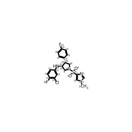 Cn1cnc(S(=O)(=O)N2C[C@@H](Nc3ccc(F)c(Cl)c3)[C@H](c3ccc(F)cc3)C2)c1